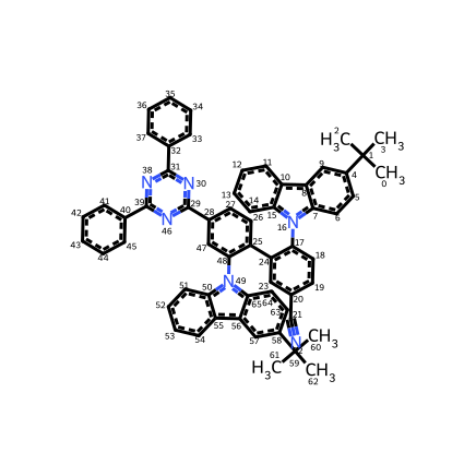 CC(C)(C)c1ccc2c(c1)c1ccccc1n2-c1ccc(C#N)cc1-c1ccc(-c2nc(-c3ccccc3)nc(-c3ccccc3)n2)cc1-n1c2ccccc2c2cc(C(C)(C)C)ccc21